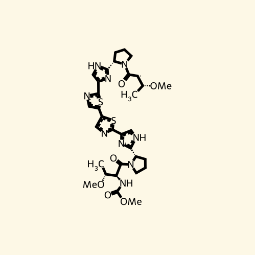 COC(=O)N[C@H](C(=O)N1CCC[C@H]1c1nc(-c2ncc(-c3cnc(-c4c[nH]c([C@@H]5CCCN5C(=O)[CH][C@@H](C)OC)n4)s3)s2)c[nH]1)[C@@H](C)OC